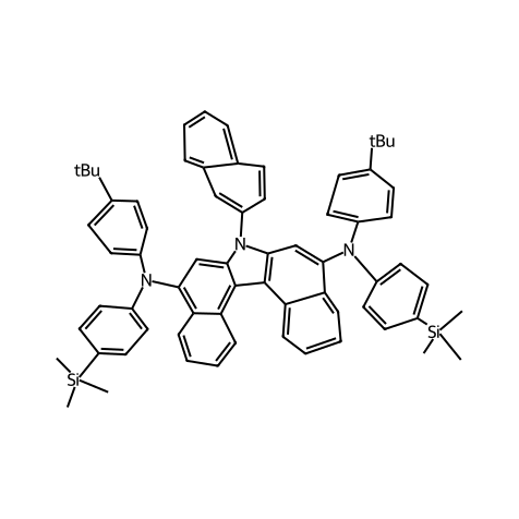 CC(C)(C)c1ccc(N(c2ccc([Si](C)(C)C)cc2)c2cc3c(c4ccccc24)c2c4ccccc4c(N(c4ccc(C(C)(C)C)cc4)c4ccc([Si](C)(C)C)cc4)cc2n3-c2ccc3ccccc3c2)cc1